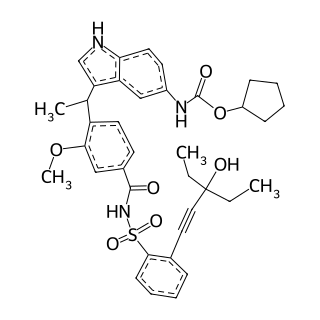 CCC(O)(C#Cc1ccccc1S(=O)(=O)NC(=O)c1ccc(C(C)c2c[nH]c3ccc(NC(=O)OC4CCCC4)cc23)c(OC)c1)CC